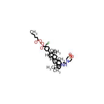 C=C(C)[C@@H]1CC[C@]2(NCCN3CCS(=O)(=O)CC3)CC[C@]3(C)[C@H](CC[C@@H]4[C@@]5(C)CC=C(C6=CC[C@@](CF)(C(=O)OCOC(=O)CCCCC)CC6)C(C)(C)[C@@H]5CC[C@]43C)[C@@H]12